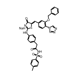 Cc1ccc(S(=O)(=O)NC(=O)Cc2ccc(NC3=NC(=O)C(=Cc4ccc(-n5cnnn5)c(OCc5ccccc5)c4)S3)cc2)cc1.[NaH]